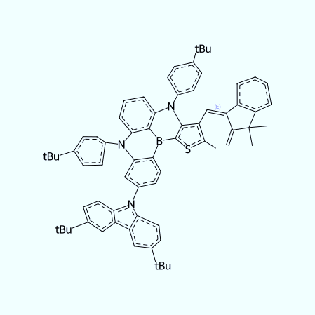 C=C1/C(=C\c2c(C)sc3c2N(c2ccc(C(C)(C)C)cc2)c2cccc4c2B3c2ccc(-n3c5ccc(C(C)(C)C)cc5c5cc(C(C)(C)C)ccc53)cc2N4c2ccc(C(C)(C)C)cc2)c2ccccc2C1(C)C